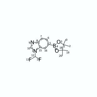 CC1(C)OB(c2ccc3ncn(C(F)F)c3c2)OC1(C)C